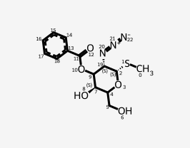 CS[C@@H]1OC(CO)[C@@H](O)C(OC(=O)c2ccccc2)[C@@H]1N=[N+]=[N-]